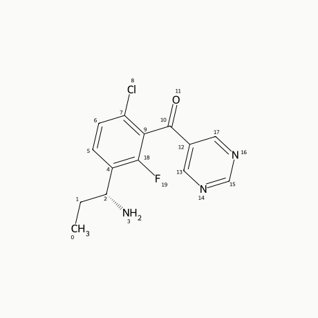 CC[C@@H](N)c1ccc(Cl)c(C(=O)c2cncnc2)c1F